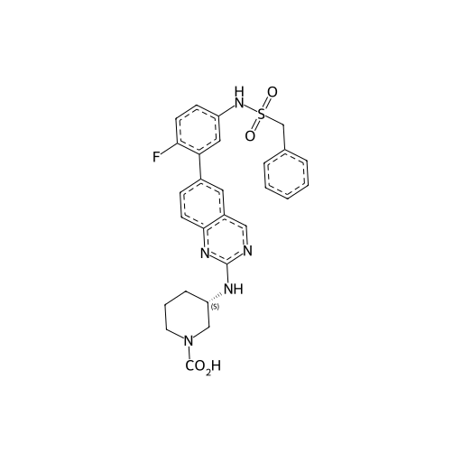 O=C(O)N1CCC[C@H](Nc2ncc3cc(-c4cc(NS(=O)(=O)Cc5ccccc5)ccc4F)ccc3n2)C1